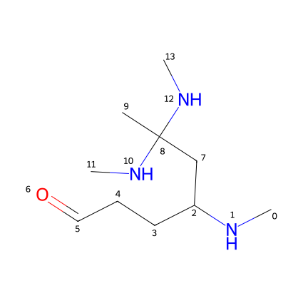 CNC(CCC=O)CC(C)(NC)NC